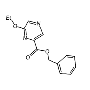 CCOc1cncc(C(=O)OCc2ccccc2)n1